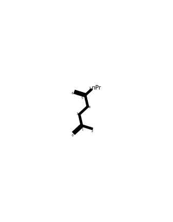 C=C(C)CCC(=C)CCC